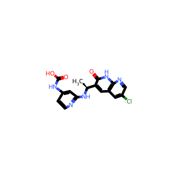 C[C@H](Nc1cc(NC(=O)O)ccn1)c1cc2cc(Cl)cnc2[nH]c1=O